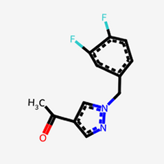 CC(=O)c1cnn(Cc2ccc(F)c(F)c2)c1